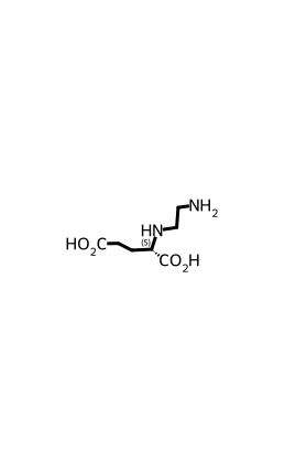 NCCN[C@@H](CCC(=O)O)C(=O)O